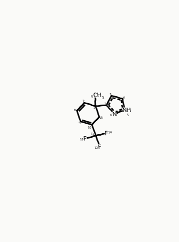 CC1(c2cc[nH]n2)C=CC=C(C(F)(F)F)C1